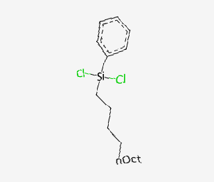 CCCCCCCCCCCC[Si](Cl)(Cl)c1ccccc1